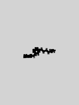 CSCc1cn(CCCCC(C)C)nn1